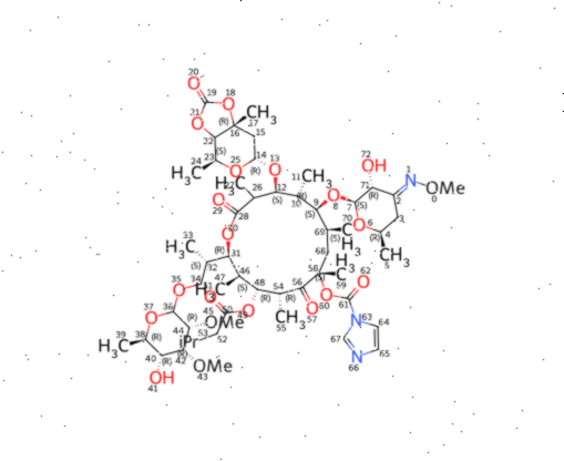 CON=C1C[C@@H](C)O[C@@H](O[C@@H]2[C@@H](C)[C@H](O[C@H]3C[C@@]4(C)OC(=O)OC4[C@H](C)O3)C(C)C(=O)O[C@H]([C@@H](C)COC3O[C@H](C)[C@@H](O)[C@@H](OC)[C@H]3OC)[C@H](C)[C@@H](OC(=O)CC(C)C)[C@@H](C)C(=O)[C@@](C)(OC(=O)n3ccnc3)C[C@@H]2C)[C@@H]1O